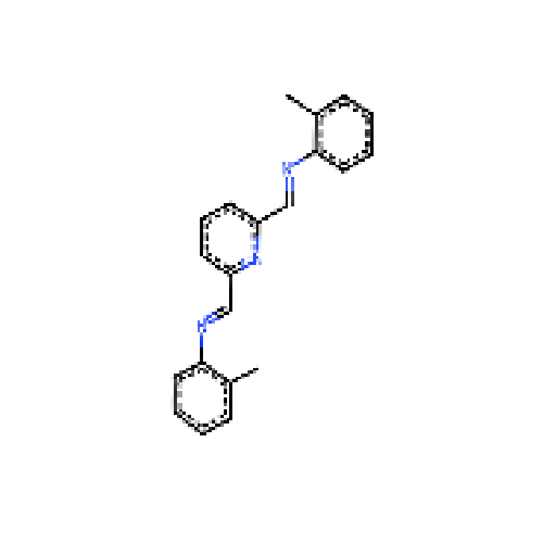 Cc1ccccc1N=Cc1cccc(C=Nc2ccccc2C)n1